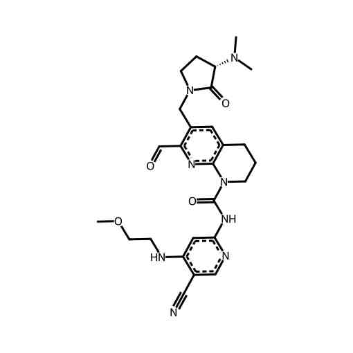 COCCNc1cc(NC(=O)N2CCCc3cc(CN4CC[C@H](N(C)C)C4=O)c(C=O)nc32)ncc1C#N